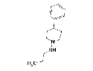 CCCNN1CCC(c2ccccc2)CC1